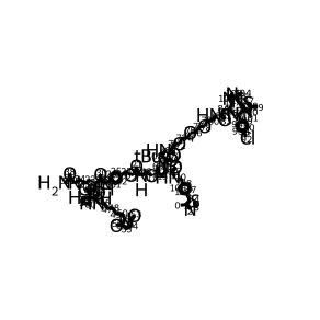 Cc1ncsc1-c1ccc(CNC(=O)[C@@H]2C[C@@H](OCNC(=O)OCc3ccc(NC(=O)[C@H](CCCNC(N)=O)NC(=O)C4(C(=O)NCCCCCN5C(=O)C=CC5=O)CCC4)cc3)CN2C(=O)[C@@H](NC(=O)COCCOCCOCCNC(=O)C[C@@H]2N=C(c3ccc(Cl)cc3)c3c(sc(C)c3C)-n3c(C)nnc32)C(C)(C)C)cc1